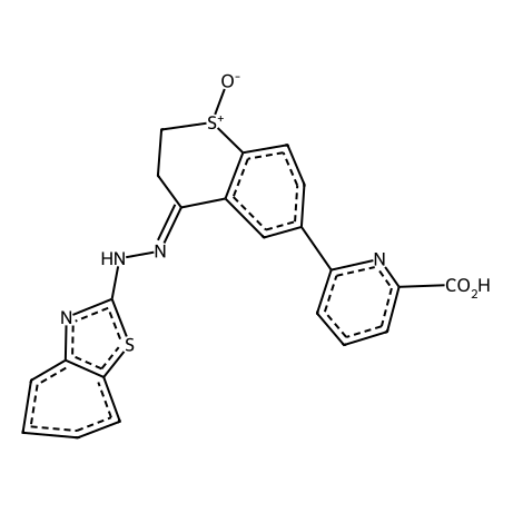 O=C(O)c1cccc(-c2ccc3c(c2)C(=NNc2nc4ccccc4s2)CC[S+]3[O-])n1